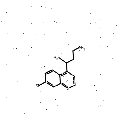 NCCC(N)c1ccnc2cc(Cl)ccc12